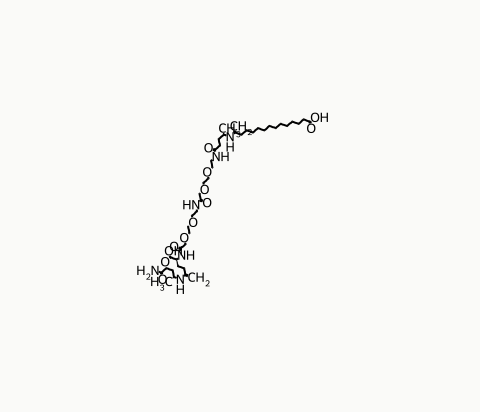 C=C(CC[C@H](NC(=O)COCCOCCNC(=O)COCCOCCNC(=O)CC[C@@H](C)NC(=C)CCCCCCCCCCCCC(=O)O)C(=O)O)N[C@H](C)CCC(N)=O